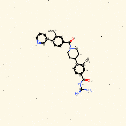 COc1cc(C(=O)N2CCC(c3ccc(C(=O)NC(=N)N)cc3C(F)(F)F)CC2)ccc1-c1cccnc1